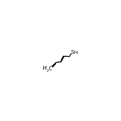 C=CC=CCS